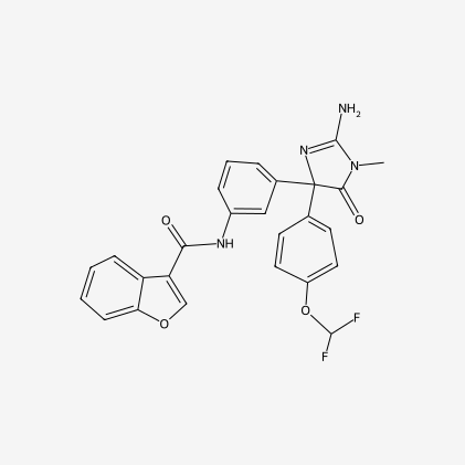 CN1C(=O)C(c2ccc(OC(F)F)cc2)(c2cccc(NC(=O)c3coc4ccccc34)c2)N=C1N